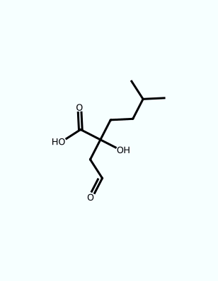 CC(C)CCC(O)(CC=O)C(=O)O